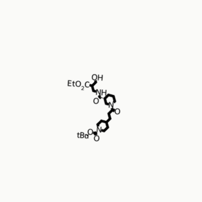 CCOC(=O)C(CO)CNC(=O)[C@@H]1CCCN(C(=O)CCC2CCN(C(=O)OC(C)(C)C)CC2)C1